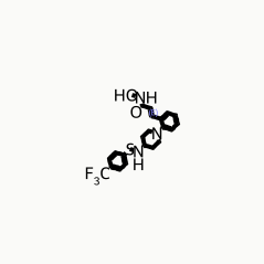 O=C(/C=C/c1ccccc1N1CCC(NSc2ccc(C(F)(F)F)cc2)CC1)NO